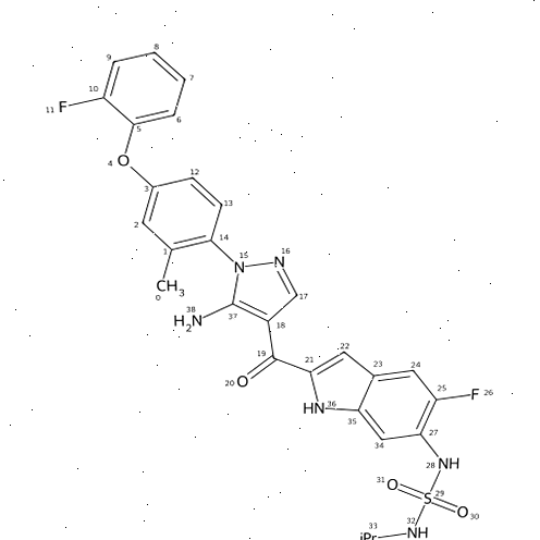 Cc1cc(Oc2ccccc2F)ccc1-n1ncc(C(=O)c2cc3cc(F)c(NS(=O)(=O)NC(C)C)cc3[nH]2)c1N